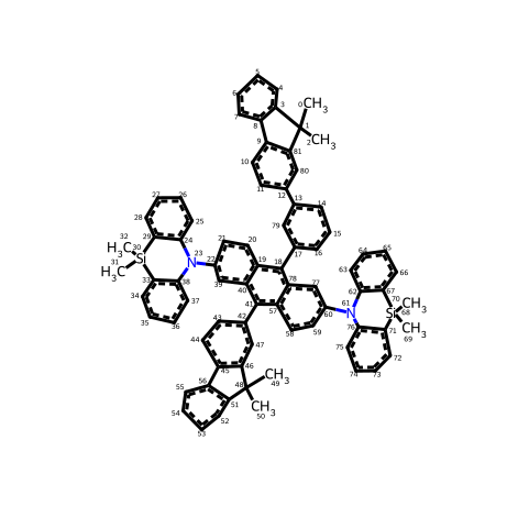 CC1(C)c2ccccc2-c2ccc(-c3cccc(-c4c5ccc(N6c7ccccc7[Si](C)(C)c7ccccc76)cc5c(-c5ccc6c(c5)C(C)(C)c5ccccc5-6)c5ccc(N6c7ccccc7[Si](C)(C)c7ccccc76)cc45)c3)cc21